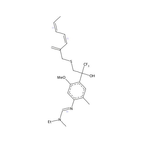 C=C(/C=C\C=C/C)CSCC(O)(c1cc(C)c(/N=C/N(C)CC)cc1OC)C(F)(F)F